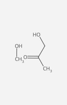 CC(=O)CO.CO